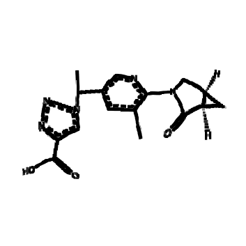 Cc1cc(C(C)n2cc(C(=O)O)nn2)cnc1N1C[C@H]2C[C@H]2C1=O